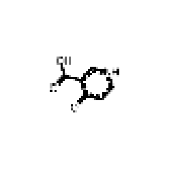 O=C(O)c1c[nH]ccc1=O